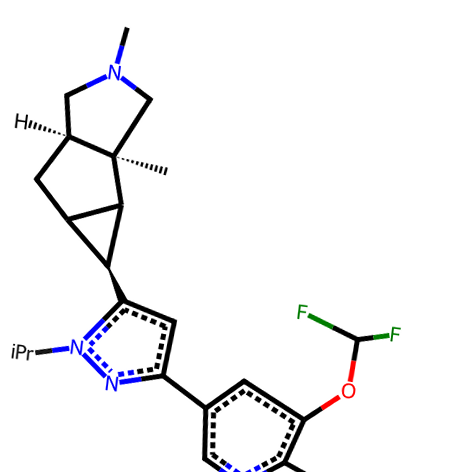 CC(C)n1nc(-c2cnc(N)c(OC(F)F)c2)cc1[C@H]1C2C[C@H]3CN(C)C[C@@]3(C)C21